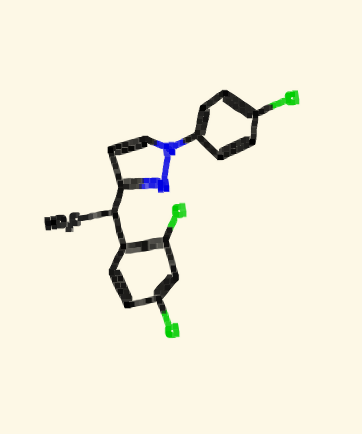 O=C(O)C(c1ccn(-c2ccc(Cl)cc2)n1)c1ccc(Cl)cc1Cl